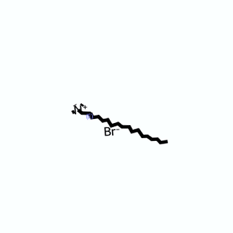 CCCCCCCCCCCCCCC/C=C/C[N+](C)(C)C.[Br-]